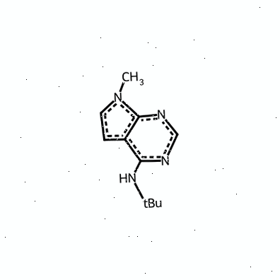 Cn1ccc2c(NC(C)(C)C)ncnc21